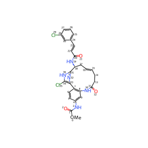 COC(=O)Nc1ccc2c(c1)NC(=O)CC/C=C/C[C@H](NC(=O)/C=C/c1cccc(Cl)c1)c1nc-2c(Cl)[nH]1